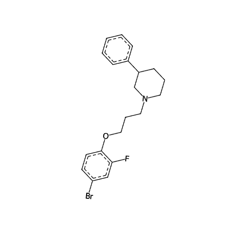 Fc1cc(Br)ccc1OCCCN1CCCC(c2ccccc2)C1